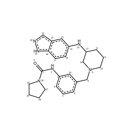 O=C(Nc1cccc(CN2CCCC(Nc3ccc4[nH]ncc4c3)C2)c1)N1CCCC1